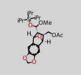 COC(O[Si](C(C)C)(C(C)C)C(C)C)[C@@H]1[C@@H](COC(C)=O)[C@@H]2O[C@H]1c1cc3c(cc12)OCO3